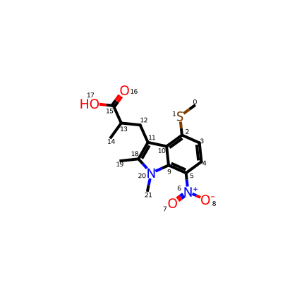 CSc1ccc([N+](=O)[O-])c2c1c(CC(C)C(=O)O)c(C)n2C